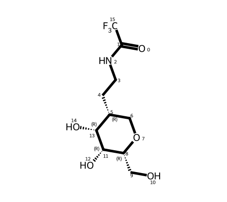 O=C(NCC[C@@H]1CO[C@H](CO)[C@H](O)[C@@H]1O)C(F)(F)F